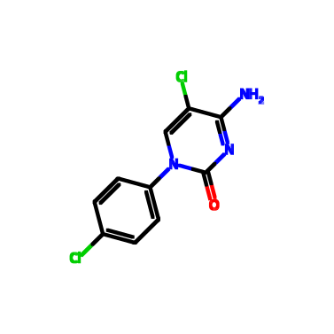 Nc1nc(=O)n(-c2ccc(Cl)cc2)cc1Cl